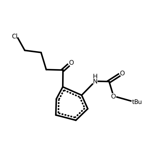 CC(C)(C)OC(=O)Nc1ccccc1C(=O)CCCCl